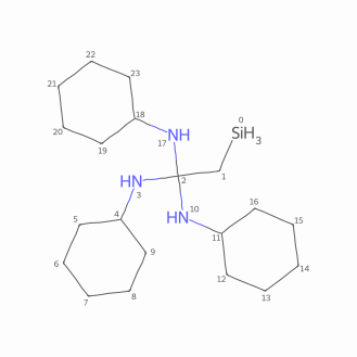 [SiH3]CC(NC1CCCCC1)(NC1CCCCC1)NC1CCCCC1